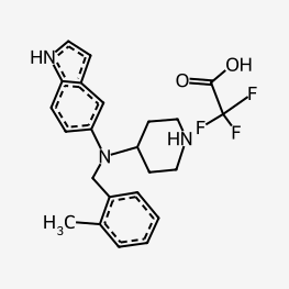 Cc1ccccc1CN(c1ccc2[nH]ccc2c1)C1CCNCC1.O=C(O)C(F)(F)F